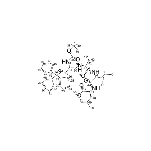 CC[C@H](C)[C@H](NC(=O)[C@@H](NC[C@H](CSC(c1ccccc1)(c1ccccc1)c1ccccc1)NC(=O)OC(C)(C)C)C(C)C)C(=O)N[C@@H](CC(C)C)C(=O)OC